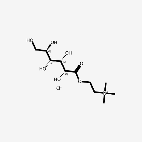 C[N+](C)(C)CCOC(=O)[C@H](O)[C@@H](O)[C@H](O)[C@H](O)CO.[Cl-]